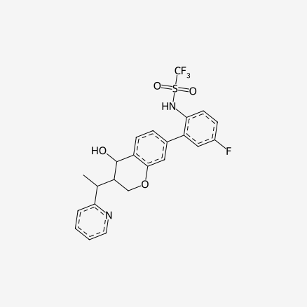 CC(c1ccccn1)C1COc2cc(-c3cc(F)ccc3NS(=O)(=O)C(F)(F)F)ccc2C1O